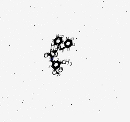 Cc1cc(/C=C2\N=C(N(Cc3ccccc3)c3ccccc3)NC2=O)cc2c1OCO2